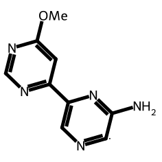 COc1cc(-c2cn[c]c(N)n2)ncn1